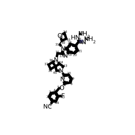 N#Cc1ccc(COc2cccc(N3CC4N(Cc5nc6ccc(/C(=N/N)NN)cc6n5C[C@@H]5CCO5)C5CCC54C3)n2)c(F)c1